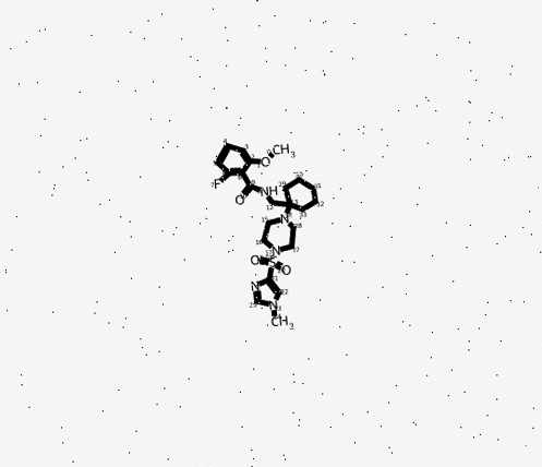 COc1cccc(F)c1C(=O)NCC1(N2CCN(S(=O)(=O)c3cn(C)cn3)CC2)CCCCC1